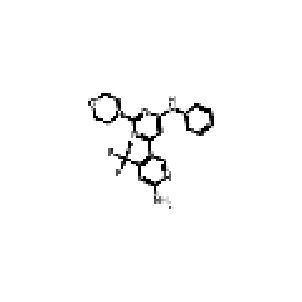 Nc1cc(C(F)(F)F)c(-c2cc(Nc3ccccc3)nc(N3CCOCC3)n2)cn1